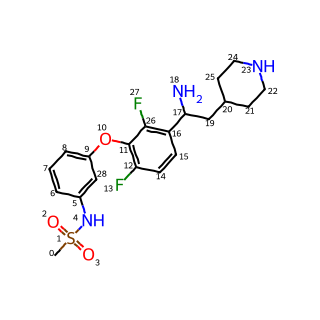 CS(=O)(=O)Nc1cccc(Oc2c(F)ccc(C(N)CC3CCNCC3)c2F)c1